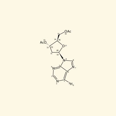 [2H]c1ncnc2c1ncn2[C@H]1C[C@H](OC(C)=O)[C@@H](COC(C)=O)O1